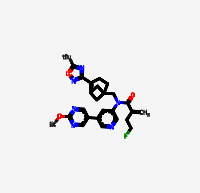 C=C(CCF)C(=O)N(CC12CCC(c3noc(C(C)(C)C)n3)=C(C1)C2)c1cncc(-c2cnc(OCC)nc2)c1